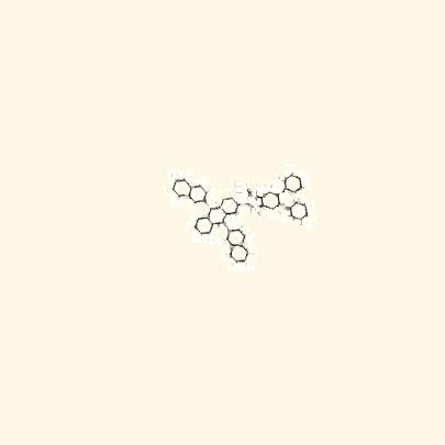 CCn1c(-c2ccc3c(-c4ccc5ccccc5c4)c4ccccc4c(-c4ccc5ccccc5c4)c3c2)nc2cc(-c3ccccc3)c(-c3ccccc3)cc21